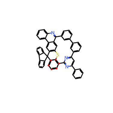 c1ccc(-c2cc(-c3cccc(-c4cccc(-c5nc6ccccc6c6cc7c(cc56)Sc5ccccc5C75c6ccccc6-c6ccccc65)c4)c3)nc(-c3ccccc3)n2)cc1